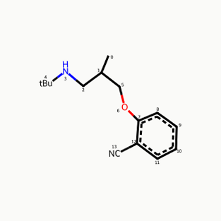 CC(CNC(C)(C)C)COc1ccccc1C#N